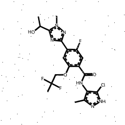 Cc1n[nH]c(Cl)c1NC(=O)c1cc(F)c(-c2nc(C(C)O)n(C)n2)cc1OCC(C)(F)F